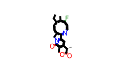 CCc1ccc2c(nccc(F)c1C)-c1cc3c(c(=O)n1C2)COC(=O)[C@H]3C